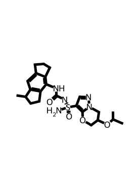 CC(C)OC1COc2c(S(N)(=O)=NC(=O)Nc3c4c(cc5c3CCC5C)CCC4)cnn2C1